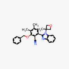 Cc1cc(-c2nc3ccccc3n2C2(C)COC2)c(C#N)c(OCc2ccccc2)c1C